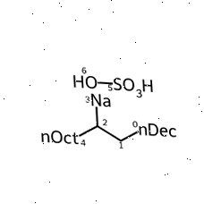 CCCCCCCCCCC[CH]([Na])CCCCCCCC.O=S(=O)(O)O